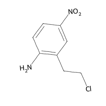 Nc1ccc([N+](=O)[O-])cc1CCCl